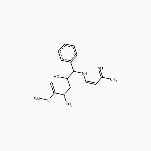 CC(=N)/C=C\NC(c1ccccc1)C(O)CN(C)C(=O)OC(C)(C)C